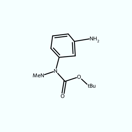 CNN(C(=O)OC(C)(C)C)c1cccc(N)c1